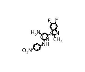 Cc1nc2cc(F)c(F)cc2n1-c1cc(N)nc(Nc2ccc([N+](=O)[O-])cc2)n1